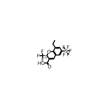 CCc1cc(S(F)(F)(F)(F)F)cc2c1O[C@H](C(F)(F)F)C(C(=O)O)=C2